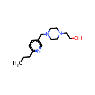 CCCc1ccc(CN2CCN(CCO)CC2)cn1